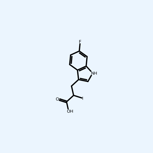 O=C(O)C(I)Cc1c[nH]c2cc(F)ccc12